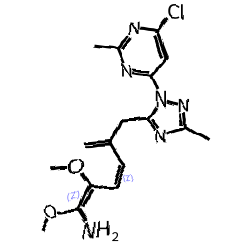 C=C(/C=C\C(OC)=C(/N)OC)Cc1nc(C)nn1-c1cc(Cl)nc(C)n1